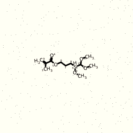 C=C(C)C(=O)OCCC[SiH](OC)C(OC)OC